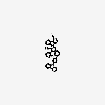 N#Cc1c(-c2ccccc2-n2c3ccccc3c3ccc(-n4c5ccccc5c5ccccc54)cc32)cccc1-n1c2ccccc2c2c(C#N)cccc21